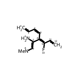 C=C\C=C/C(C(/N)=C/NC)=C(/F)C=C